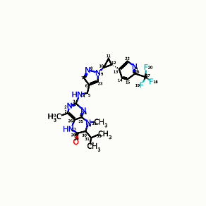 Cc1nc(NCc2cnn([C@H]3C[C@@H]3c3ccc(C(F)(F)F)nc3)c2)nc2c1NC(=O)C(C(C)C)N2C